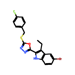 CCc1c(-c2nnc(SCc3ccc(F)cc3)o2)[nH]c2ccc(Br)cc12